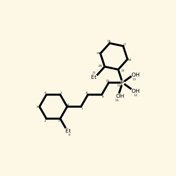 CCC1CCCCC1CCCCP(O)(O)(O)C1CCCCC1CC